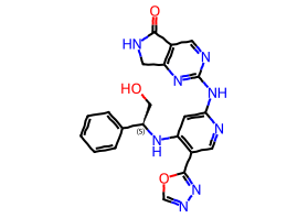 O=C1NCc2nc(Nc3cc(N[C@H](CO)c4ccccc4)c(-c4nnco4)cn3)ncc21